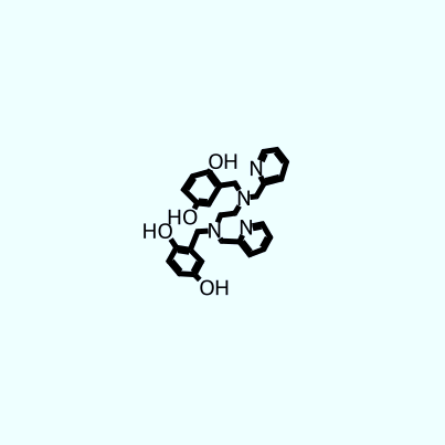 Oc1ccc(O)c(CN(CCN(Cc2ccccn2)Cc2cc(O)ccc2O)Cc2ccccn2)c1